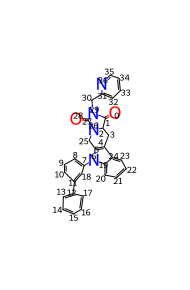 O=C1C2Cc3c(n(-c4cccc(-c5ccccc5)c4)c4ccccc34)CN2C(=O)N1Cc1ccccn1